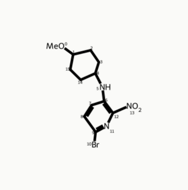 COC1CCC(Nc2ccc(Br)nc2[N+](=O)[O-])CC1